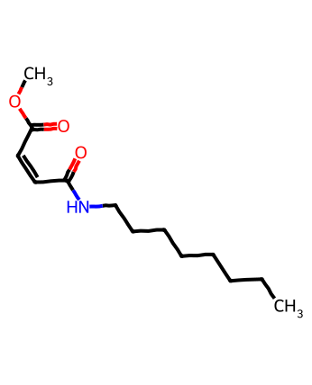 CCCCCCCCNC(=O)/C=C\C(=O)OC